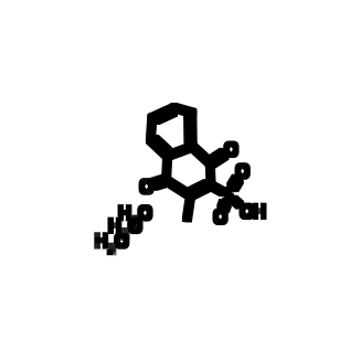 CC1=C(S(=O)(=O)O)C(=O)c2ccccc2C1=O.O.O.O